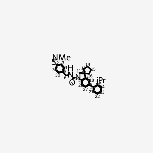 CNSc1ccc(CNC(=O)N2CC3(CCCC3)c3cc(-c4ccccc4C(C)C)ccc32)cc1